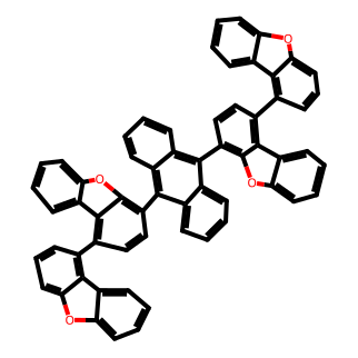 c1ccc2c(c1)oc1cccc(-c3ccc(-c4c5ccccc5c(-c5ccc(-c6cccc7oc8ccccc8c67)c6c5oc5ccccc56)c5ccccc45)c4oc5ccccc5c34)c12